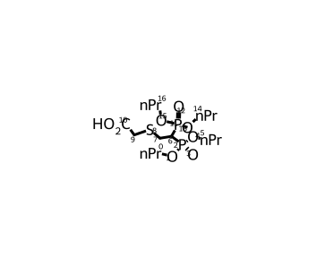 CCCOP(=O)(OCCC)C(CSCC(=O)O)P(=O)(OCCC)OCCC